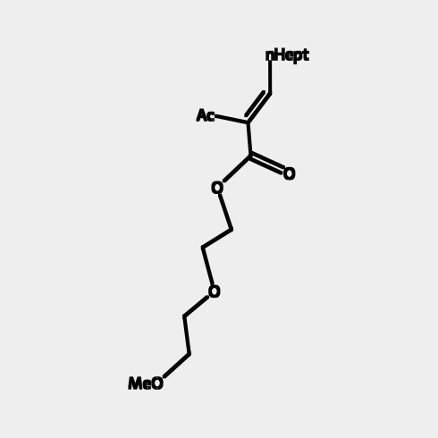 CCCCCCC/C=C(\C(C)=O)C(=O)OCCOCCOC